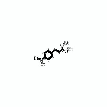 CCOC(C=Cc1ccc(N(CC)CC)cc1)OCC